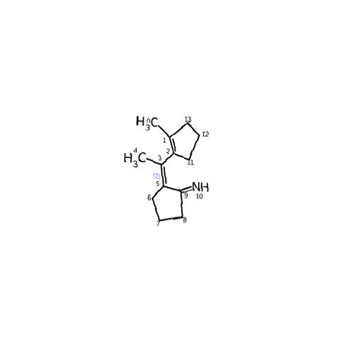 CC1=C(/C(C)=C2/CCCC2=N)CCC1